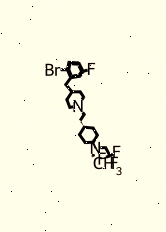 CCN(CC(F)(F)F)[C@H]1CC[C@H](CCN2CCC(Cc3cc(F)ccc3Br)CC2)CC1